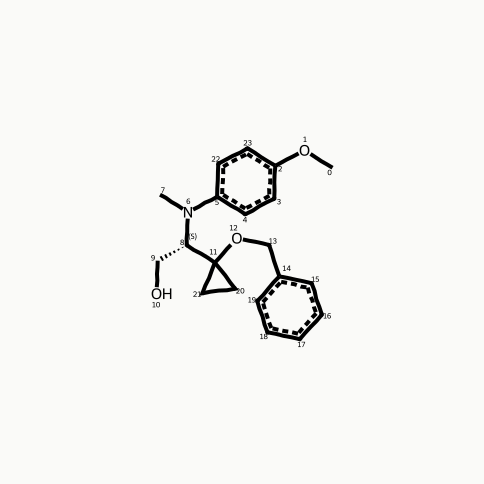 COc1ccc(N(C)[C@@H](CO)C2(OCc3ccccc3)CC2)cc1